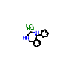 Cl.Cl.c1ccc(C2NCCNCc3ccccc32)cc1